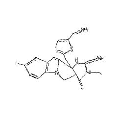 CN1C(=N)NC2(c3ccc(C=N)s3)c3cc4cc(F)ccc4n3CC2C1=O